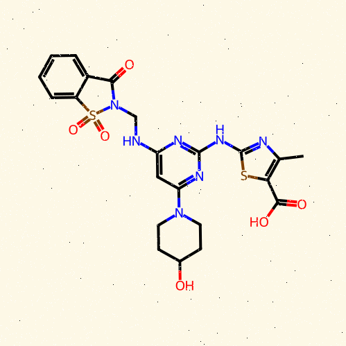 Cc1nc(Nc2nc(NCN3C(=O)c4ccccc4S3(=O)=O)cc(N3CCC(O)CC3)n2)sc1C(=O)O